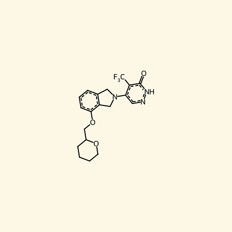 O=c1[nH]ncc(N2Cc3cccc(OCC4CCCCO4)c3C2)c1C(F)(F)F